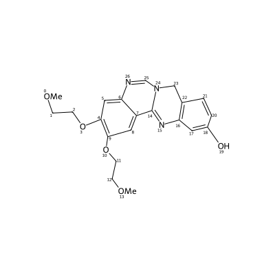 COCCOc1cc2c(cc1OCCOC)C1=Nc3cc(O)ccc3CN1C=N2